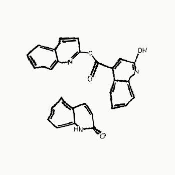 O=C(Oc1ccc2ccccc2n1)c1cc(O)nc2ccccc12.O=c1ccc2ccccc2[nH]1